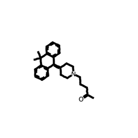 CC(=O)CCCN1CCC(=C2c3ccccc3C(C)(C)c3ccccc32)CC1